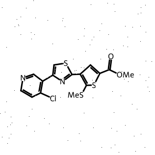 COC(=O)c1cc(-c2nc(-c3cnccc3Cl)cs2)c(SC)s1